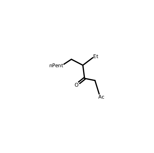 CCCCCCC(CC)C(=O)CC(C)=O